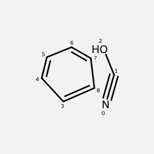 N#CO.c1ccccc1